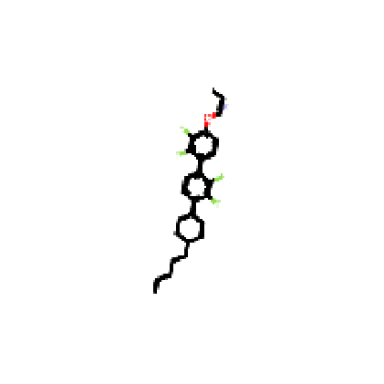 C/C=C\Oc1ccc(-c2ccc(C3CCC(CCCCC)CC3)c(F)c2F)c(F)c1F